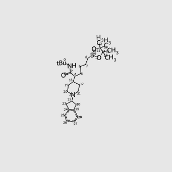 CC(C)(C)NC(=O)C(CCCCB1OC(C)(C)C(C)(C)O1)C1CCN(C2Cc3ccccc3C2)CC1